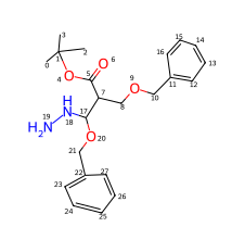 CC(C)(C)OC(=O)C(COCc1ccccc1)C(NN)OCc1ccccc1